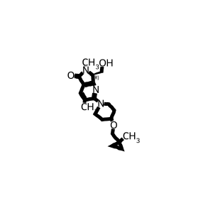 Cc1cc2c(nc1N1CCC(OCC3(C)CC3)CC1)[C@H](CO)N(C)C2=O